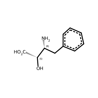 N[C@H](Cc1ccccc1)[C@H](O)C(=O)O